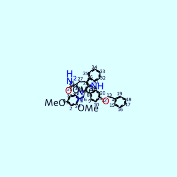 COc1cc(OC)c(C[C@@]2(c3ccc(OCc4ccccc4)cc3)N[C@@H](C(N)=O)Cc3c2[nH]c2ccccc32)c(OC)c1